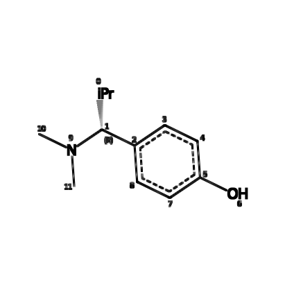 CC(C)[C@H](c1ccc(O)cc1)N(C)C